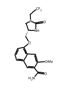 COc1cc2c(OC[C@@H]3CN(CC(F)(F)F)C(=O)N3)cccc2cc1C(N)=O